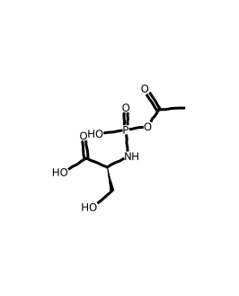 CC(=O)OP(=O)(O)N[C@@H](CO)C(=O)O